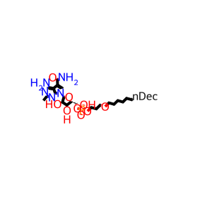 CCCCCCCCCCCCCCCCOCCCOP(=O)(O)OC[C@H]1O[C@@H](n2cc(C(N)=O)c3c(N)nc(C)nc32)[C@H](O)[C@@H]1O